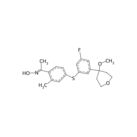 COC1(c2cc(F)cc(Sc3ccc(/C(C)=N/O)c(C)c3)c2)CCOCC1